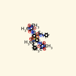 CC(CCc1ccccc1)NS(=O)(=O)c1cc(N=NC2C(=O)N(C)C(=O)N(C)C2=O)ccc1-c1ccc(N=NC2C(=O)N(C)C(=O)N(C)C2=O)cc1N(C(C)CCc1ccccc1)[SH](=O)=O